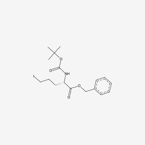 CC(C)(C)OC(=O)N[C@@H](CCCI)C(=O)OCc1ccccc1